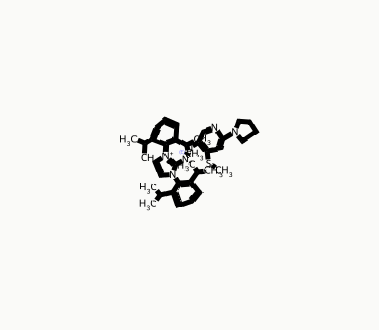 CSc1cc(N2CCCC2)ncc1/N=N/c1n(-c2c(C(C)C)cccc2C(C)C)cc[n+]1-c1c(C(C)C)cccc1C(C)C